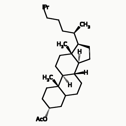 CC(=O)O[C@@H]1CC[C@@]2(C)C(CC[C@H]3[C@@H]4CC[C@H]([C@H](C)CCCC(C)C)[C@@]4(C)CC[C@@H]32)C1